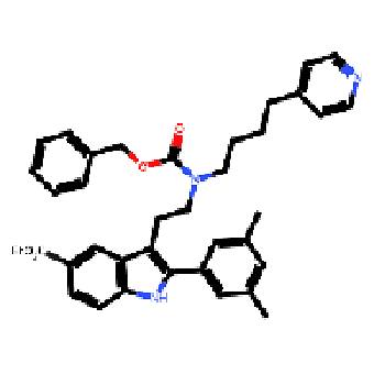 CCOC(=O)c1ccc2[nH]c(-c3cc(C)cc(C)c3)c(CCN(CCCCc3ccncc3)C(=O)OCc3ccccc3)c2c1